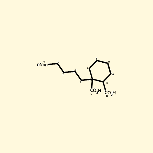 CCCCCCCCCCCCCC1(C(=O)O)CCCCC1C(=O)O